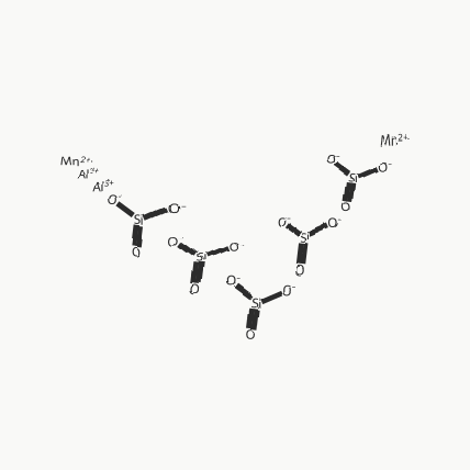 O=[Si]([O-])[O-].O=[Si]([O-])[O-].O=[Si]([O-])[O-].O=[Si]([O-])[O-].O=[Si]([O-])[O-].[Al+3].[Al+3].[Mn+2].[Mn+2]